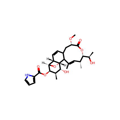 CO[C@H]1CC2C=C[C@H]3[C@H]4O[C@]2(/C(C)=C/[C@@H](C)[C@@H]([C@@H](C)O)OC1=O)[C@@H]3[C@H](O)[C@@H](C)[C@H]4OC(=O)c1ccc[nH]1